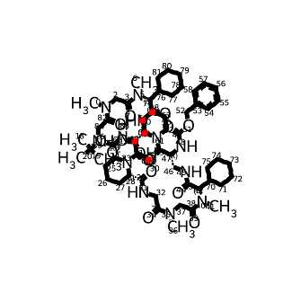 CN(CC(=O)N(C)[C@H](C(=O)NC[C@@H](NC(=O)OC(C)(C)C)C(=O)N1CCCC[C@H]1C(=O)NCC(=O)N(C)CC(=O)N(C)[C@H](C(=O)NC[C@@H](NC(=O)OCc1ccccc1)C(=O)N1CCCC[C@H]1C(=O)O)C1CCCCC1)C1CCCCC1)C(=O)CN